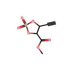 C#CC1OS(=O)(=O)OC1C(=O)OC